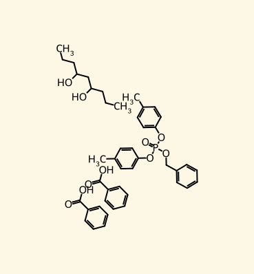 CCCC(O)CC(O)CCC.Cc1ccc(OP(=O)(OCc2ccccc2)Oc2ccc(C)cc2)cc1.O=C(O)c1ccccc1.O=C(O)c1ccccc1